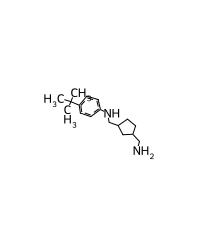 CC(C)(C)c1ccc(NCC2CCC(CN)C2)cc1